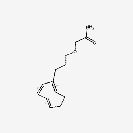 NC(=O)COCCCC1=C\CC/C=C/C=C\1